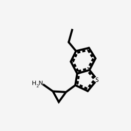 CCc1ccc2scc(C3CC3N)c2c1